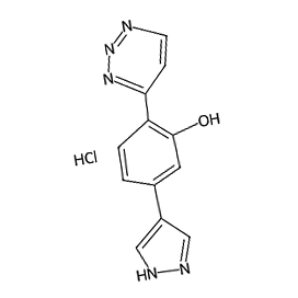 Cl.Oc1cc(-c2cn[nH]c2)ccc1-c1ccnnn1